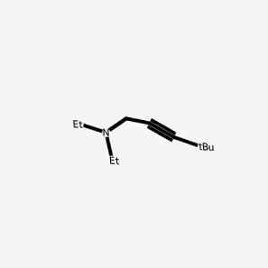 CCN(CC)CC#CC(C)(C)C